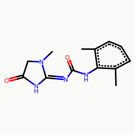 Cc1cccc(C)c1NC(=O)N=C1NC(=O)CN1C